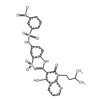 CC(C)CCn1c(=O)c(C2=NS(=O)(=O)c3cc(NS(=O)(=O)c4cccc([N+](=O)[O-])c4)ccc3N2)c(O)c2cccnc21